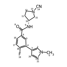 Cn1cc(-c2cc(C(=O)N[C@@H]3CCN(C#N)C3)ccc2F)cn1